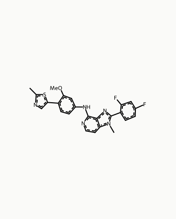 COc1cc(Nc2nccc3c2nc(-c2ccc(F)cc2F)n3C)ccc1-c1cnc(C)s1